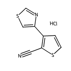 Cl.N#Cc1sccc1-c1cscn1